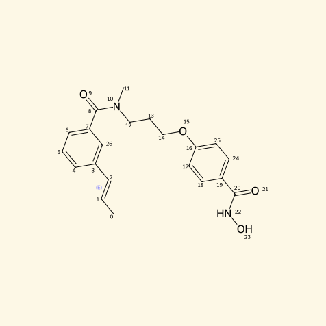 C/C=C/c1cccc(C(=O)N(C)CCCOc2ccc(C(=O)NO)cc2)c1